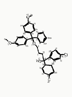 COc1ccc(C(OCCCC(O)(c2ccc(Cl)cc2)C2C=CC(Cl)=CC2)(c2ccccc2)c2ccc(OC)cc2)cc1